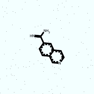 N=C(N)c1ccc2cnccc2c1